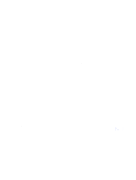 Cc1cccc(C2CCC(C)(Cc3ccc(N)cc3)CC2)c1